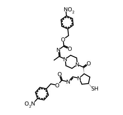 CC(=NC(=O)OCc1ccc([N+](=O)[O-])cc1)N1CCN(C(=O)[C@@H]2C[C@H](S)CN2C=NC(=O)OCc2ccc([N+](=O)[O-])cc2)CC1